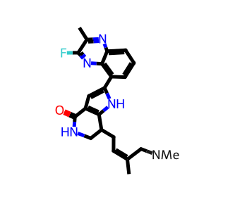 CNC/C(C)=C\CC1CNC(=O)c2cc(-c3cccc4nc(C)c(F)nc34)[nH]c21